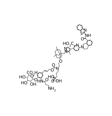 Cc1c(-c2ccc(N3CCc4cccc(C(=O)Nc5nc6ccccc6s5)c4C3)nc2C(=O)O)cnn1CC12CC3(C)CC(C)(C1)CC(OCCN(CCCP(=O)(O)O)C(=O)OCC=Cc1ccc(O[C@@H]4O[C@H](C(=O)O)[C@@H](O)[C@H](O)[C@H]4O)c(NC(=O)CCN)c1)(C3)C2